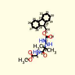 COC(=O)CNC(=O)C(C)(C)NNC(=O)OCC1c2ccccc2-c2ccccc21